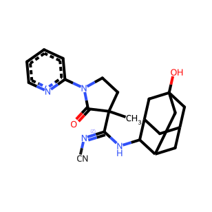 CC1(/C(=N/C#N)NC2C3CC4CC2CC(O)(C4)C3)CCN(c2ccccn2)C1=O